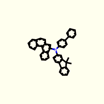 CC1(C)c2ccccc2-c2ccc(N(c3ccc(-c4ccccc4)cc3)c3cc4ccc5ccccc5c4c4ccccc34)cc21